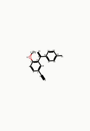 C#Cc1ccc(OC(C)C)c(C(=C)c2ccc(C)cc2)c1